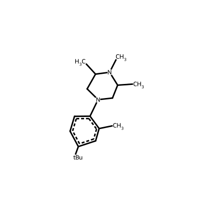 Cc1cc(C(C)(C)C)ccc1N1CC(C)N(C)C(C)C1